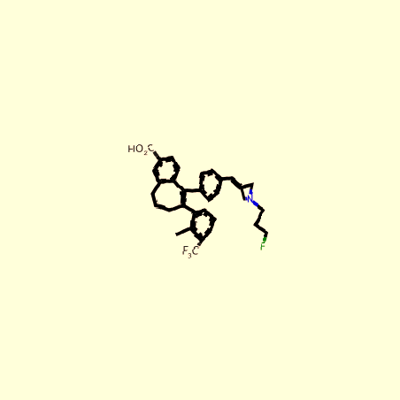 Cc1c(C2=C(c3ccc(C=C4CN(CCCF)C4)cc3)c3ccc(C(=O)O)cc3CCC2)cccc1C(F)(F)F